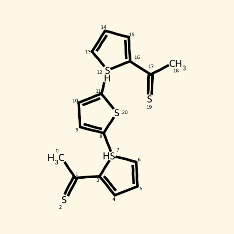 CC(=S)C1=CC=C[SH]1c1ccc([SH]2C=CC=C2C(C)=S)s1